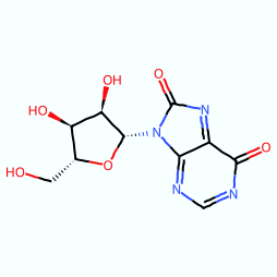 O=C1N=CN=C2C1=NC(=O)N2[C@@H]1O[C@H](CO)[C@@H](O)[C@H]1O